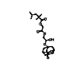 CC(C)CC(C)(C)C(=O)OCC(=O)OCC(O)OC12CC3CC(C1)OC(=O)C(C3)C2